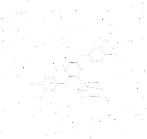 N#Cc1ccc(Oc2ccc(Oc3ccc(C#N)c(C#N)c3)c(C3C4CC5CC(C4)CC3C5)c2)cc1C#N